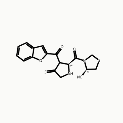 N#C[C@@H]1CSCN1C(=O)[C@H]1NCC(=S)C1C(=O)c1cc2ccccc2o1